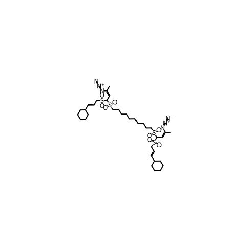 CC(=CC(S(=O)(=O)CC=CC1CCCCC1)S(=O)(=O)CCCCCCCCCCS(=O)(=O)C(C=C(C)N=[N+]=[N-])S(=O)(=O)CC=CC1CCCCC1)N=[N+]=[N-]